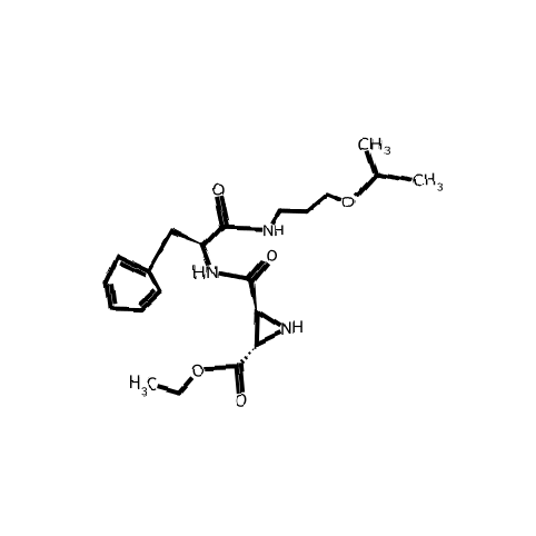 CCOC(=O)[C@H]1N[C@@H]1C(=O)N[C@@H](Cc1ccccc1)C(=O)NCCCOC(C)C